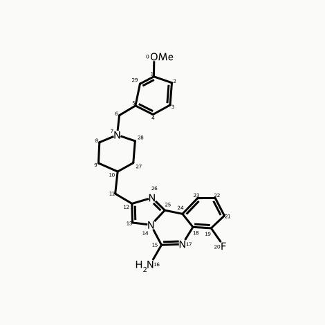 COc1cccc(CN2CCC(Cc3cn4c(N)nc5c(F)cccc5c4n3)CC2)c1